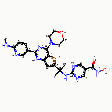 CNc1ccc(-c2nc(N3CCOCC3)c3sc(C(C)(C)Nc4ncc(C(=O)NO)cn4)cc3n2)cn1